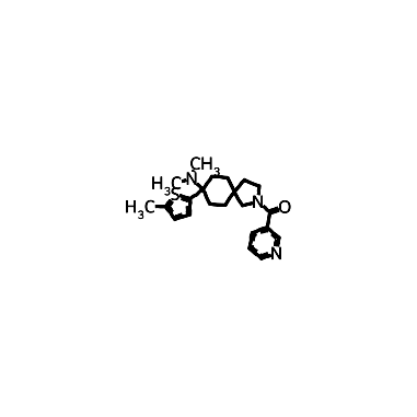 Cc1ccc(C2(N(C)C)CCC3(CCN(C(=O)c4cccnc4)C3)CC2)s1